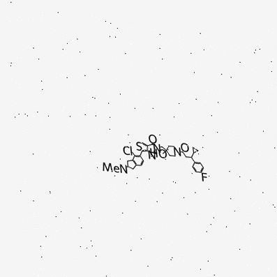 CNC1Cc2ccc(-c3scc4c(=O)n(CC5(O)CCN(C(=O)CC(c6ccc(F)cc6)C6CC6)CC5)cnc34)c(Cl)c2C1